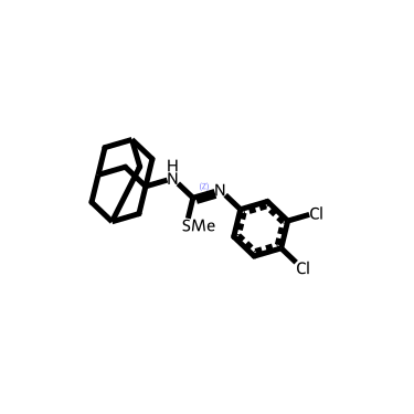 CS/C(=N\c1ccc(Cl)c(Cl)c1)NC12CC3CC(CC(C3)C1)C2